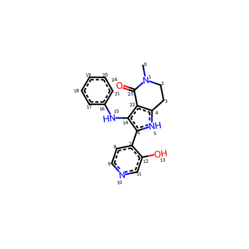 CN1CCc2[nH]c(-c3ccncc3O)c(Nc3ccccc3)c2C1=O